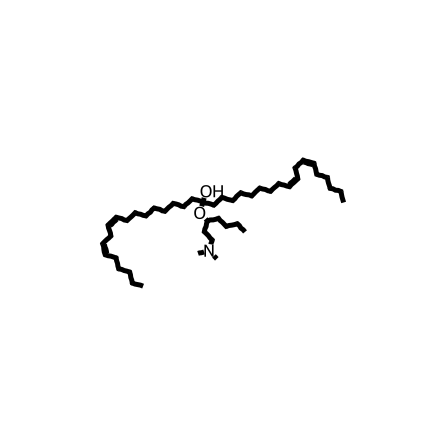 CCCCC/C=C\C/C=C\CCCCCCCCC(O)(CCCCCCCC/C=C\C/C=C\CCCCC)OC(CCCC)CCN(C)C